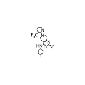 Cc1ccc(Nc2nc(N(C)C)nc3c2CCN(c2ncccc2C(F)(F)F)CC3)cc1